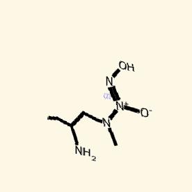 CC(N)CN(C)/[N+]([O-])=N/O